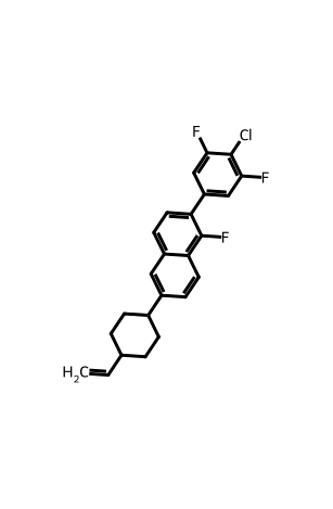 C=CC1CCC(c2ccc3c(F)c(-c4cc(F)c(Cl)c(F)c4)ccc3c2)CC1